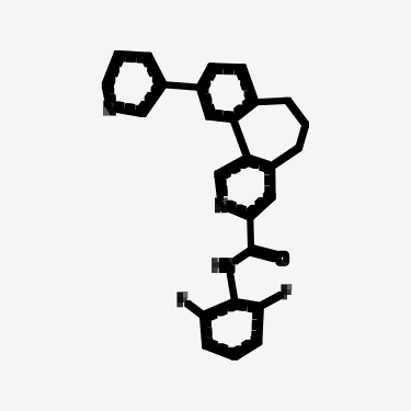 O=C(Nc1c(F)cccc1F)c1cc2c(cn1)-c1cc(-c3cccnc3)ccc1CCC2